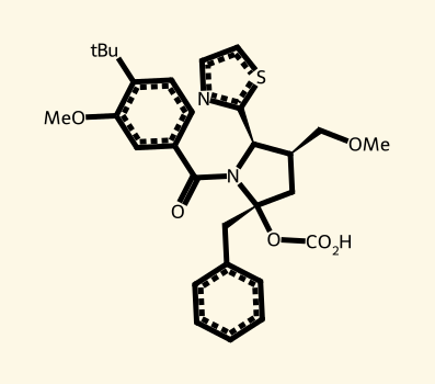 COC[C@H]1C[C@](Cc2ccccc2)(OC(=O)O)N(C(=O)c2ccc(C(C)(C)C)c(OC)c2)[C@H]1c1nccs1